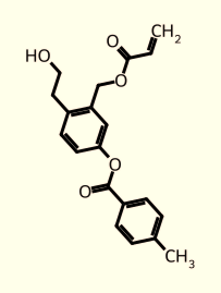 C=CC(=O)OCc1cc(OC(=O)c2ccc(C)cc2)ccc1CCO